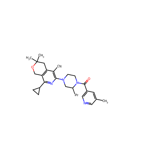 Cc1cncc(C(=O)N2CCN(c3nc(C4CC4)c4c(c3C#N)CC(C)(C)OC4)CC2C(C)C)c1